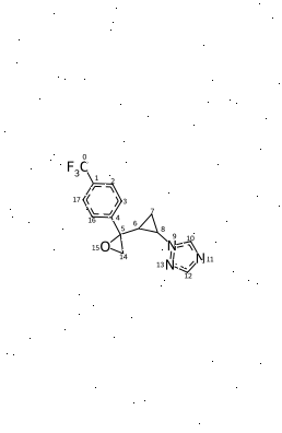 FC(F)(F)c1ccc(C2(C3CC3n3cncn3)CO2)cc1